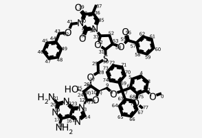 COc1cccc(C(OC[C@H]2O[C@@H](n3cnc4c(N)nc(N)nc43)[C@H](O)[C@@H]2OCCSC2OC(n3cc(C)c(=O)n(COCc4ccccc4)c3=O)CC2OC(=O)c2ccccc2)(c2ccccc2)c2ccccc2)c1OC